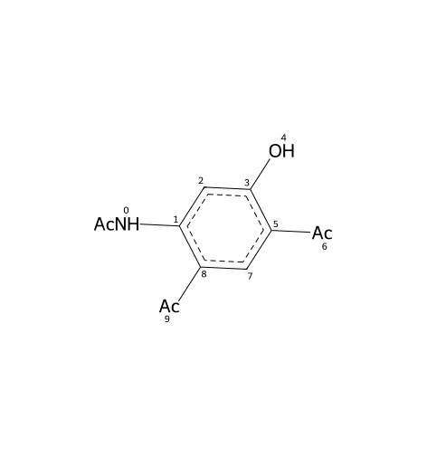 CC(=O)Nc1cc(O)c(C(C)=O)cc1C(C)=O